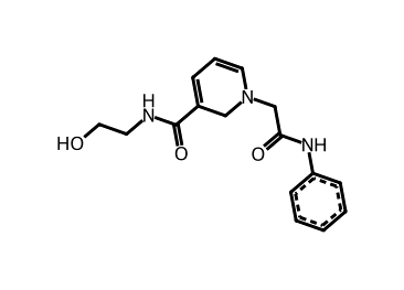 O=C(CN1C=CC=C(C(=O)NCCO)C1)Nc1ccccc1